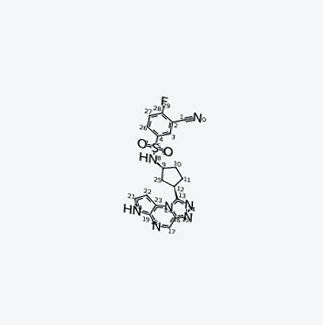 N#Cc1cc(S(=O)(=O)N[C@H]2CC[C@@H](c3nnc4cnc5[nH]ccc5n34)C2)ccc1F